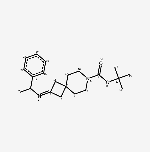 CC(N=C1CC2(CCN(C(=O)OC(C)(C)C)CC2)C1)c1ccccc1